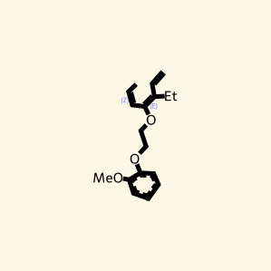 C=C/C(CC)=C(\C=C/C)OCCOc1ccccc1OC